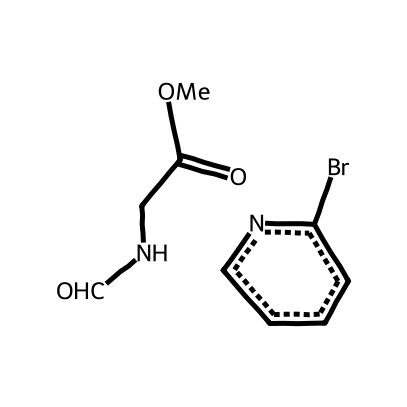 Brc1ccccn1.COC(=O)CNC=O